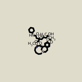 CO/C1=C/CCCCN2CCc3cc4c(cc3[C@@H](C2)[C@@H]1OC(=O)[C@@](O)(CCCC(C)(C)O)CC(=O)NC1CCCCC1)OCO4